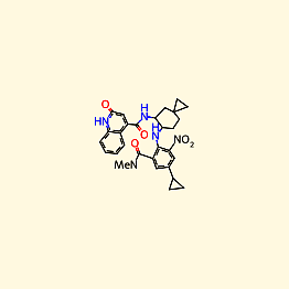 CNC(=O)c1cc(C2CC2)cc([N+](=O)[O-])c1N[C@@H]1CCC2(CC2)C[C@@H]1NC(=O)c1cc(=O)[nH]c2ccccc12